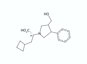 O=C(O)[C@@H](CC1CCC1)N1CC(CO)C(c2ccccc2)C1